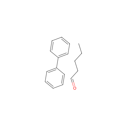 CCCCC=O.c1ccc(-c2ccccc2)cc1